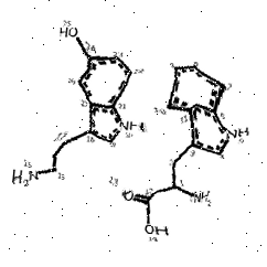 NC(Cc1c[nH]c2ccccc12)C(=O)O.NCCc1c[nH]c2ccc(O)cc12